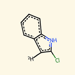 [2H]c1c(Cl)[nH]c2ccccc12